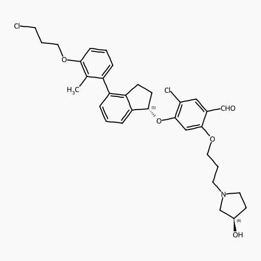 Cc1c(OCCCCl)cccc1-c1cccc2c1CC[C@@H]2Oc1cc(OCCCN2CC[C@@H](O)C2)c(C=O)cc1Cl